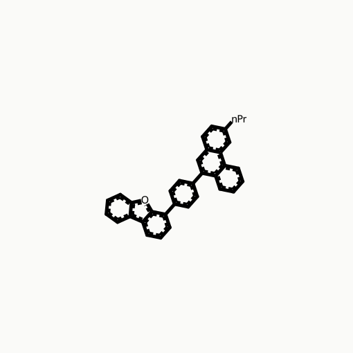 CCCc1ccc2cc(-c3ccc(-c4cccc5c4oc4ccccc45)cc3)c3ccccc3c2c1